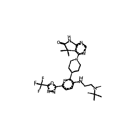 CN(CCNc1ccc(-c2nnc(C(F)(F)F)o2)nc1C1CCN(c2ncnc3c2C(C)(C)C(=O)N3)CC1)C(C)(C)C